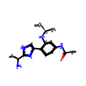 CCCC[C@H](N)c1nc(-c2ccc(NC(=O)OC)cc2N[C@@H](C)C(=O)OCC)c[nH]1